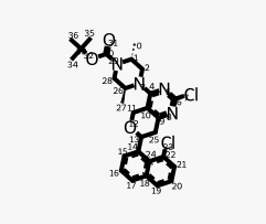 C[C@@H]1CN(c2nc(Cl)nc3c2COC(c2cccc4cccc(Cl)c24)C3)[C@@H](C)CN1C(=O)OC(C)(C)C